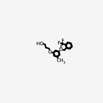 Cc1cc(OCCCO)cc(OCc2ccccc2C(F)(F)F)c1